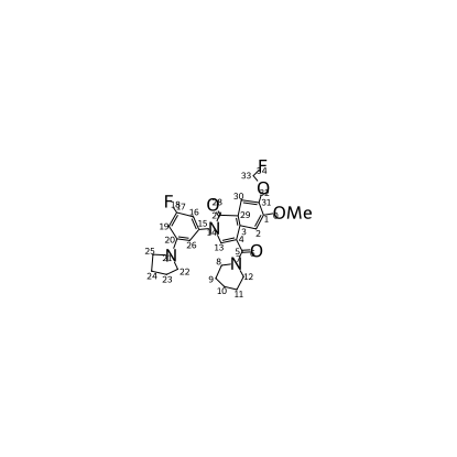 COc1cc2c(C(=O)N3CCCCC3)cn(-c3cc(F)cc(N4CCCC4)c3)c(=O)c2cc1OCF